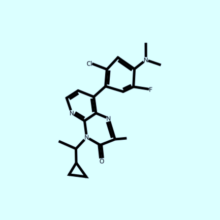 Cc1nc2c(-c3cc(F)c(N(C)C)cc3Cl)ccnc2n(C(C)C2CC2)c1=O